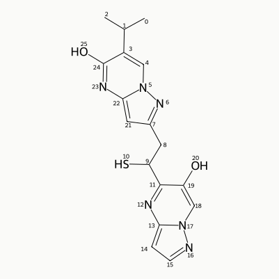 CC(C)c1cn2nc(CC(S)c3nc4ccnn4cc3O)cc2nc1O